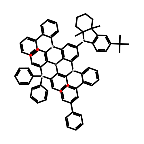 CC(C)(C)c1ccc2c(c1)C1(C)CCCCC1(C)N2c1cc2c3c(c1)N(c1ccccc1-c1cc(-c4ccccc4)ccn1)c1cccc4c1B3c1c(cccc1S4(c1ccccc1)c1ccccc1)N2c1ccccc1-c1ccccn1